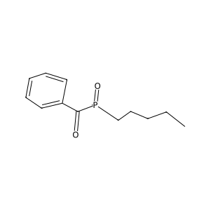 CCCCC[P](=O)C(=O)c1ccccc1